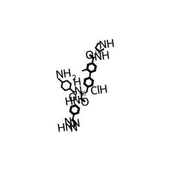 Cc1cc(C(=O)N[C@H]2CCNC2)ccc1-c1ccc(C[C@H](NC(=O)C2CCC(CN)CC2)C(=O)Nc2ccc(-c3nn[nH]n3)cc2)cc1.Cl